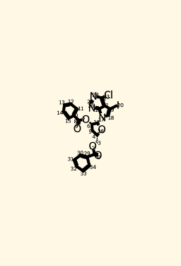 O=C(OC[C@@H]1C[C@@H](OC(=O)c2ccccc2)[C@H](n2cc(I)c3c(Cl)ncnc32)O1)c1ccccc1